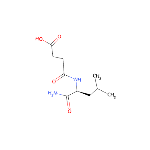 CC(C)C[C@H](NC(=O)CCC(=O)O)C(N)=O